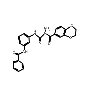 NN(C(=O)c1ccc2c(c1)OCCO2)C(=S)Nc1cccc(NC(=O)c2ccccc2)c1